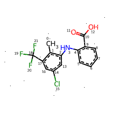 Cc1c(Nc2ccccc2C(=O)O)cc(Cl)cc1C(F)(F)F